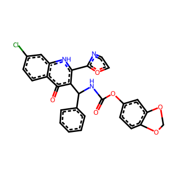 O=C(NC(c1ccccc1)c1c(-c2ncco2)[nH]c2cc(Cl)ccc2c1=O)Oc1ccc2c(c1)OCO2